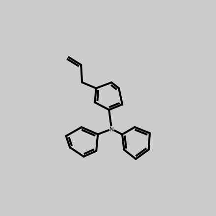 C=CCc1cccc(N(c2ccccc2)c2ccccc2)c1